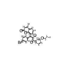 CCCOc1cccc(C(=O)c2oc3ccc4c(C)cc(=O)oc4c3c2-c2ccc(Br)cc2)c1